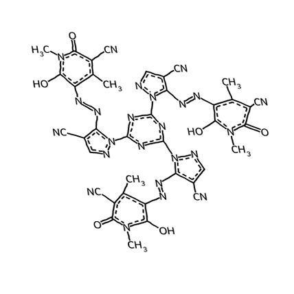 Cc1c(/N=N/c2c(C#N)cnn2-c2nc(-n3ncc(C#N)c3/N=N/c3c(C)c(C#N)c(=O)n(C)c3O)nc(-n3ncc(C#N)c3/N=N/c3c(C)c(C#N)c(=O)n(C)c3O)n2)c(O)n(C)c(=O)c1C#N